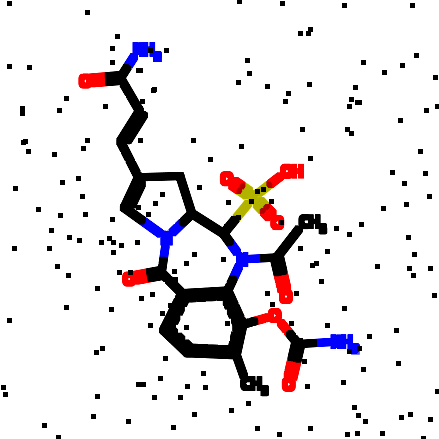 CC(=O)N1c2c(ccc(C)c2OC(N)=O)C(=O)N2C=C(/C=C/C(N)=O)CC2C1S(=O)(=O)O